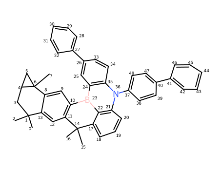 CC1(C)CC2CC2(C)c2cc3c(cc21)C(C)(C)c1cccc2c1B3c1cc(-c3ccccc3)ccc1N2c1ccc(-c2ccccc2)cc1